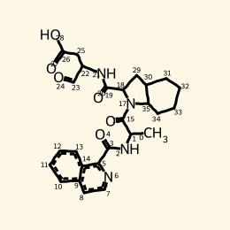 CC(NC(=O)c1nccc2ccccc12)C(=O)N1C(C(=O)NC(C=O)CC(=O)O)CC2CCCCC21